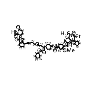 CC[C@@H]1C(=O)N(C)c2cnc(Nc3ccc(C(=O)NC4CCC(N(CCOCCC#Cc5cccc6c5CN(C5CCC(=O)NC5=O)C6=O)C(=O)Oc5ccccc5)CC4)cc3OC)nc2N1C1CCCC1